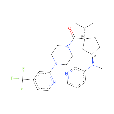 CC(C)[C@]1(C(=O)N2CCN(c3cc(C(F)(F)F)ccn3)CC2)CC[C@@H](N(C)c2cccnc2)C1